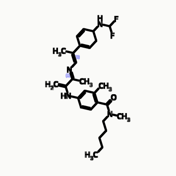 C=C(Nc1ccc(C(=O)N(C)CCCCC)c(C)c1)/C(C)=N/C=C(\C)C1=CCC(NC(F)F)C=C1